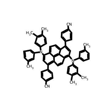 Cc1cccc(N(c2ccc(C)c(C)c2)c2cc(-c3ccc(C#N)cc3)c3ccc4c(N(c5cccc(C)c5)c5ccc(C)c(C)c5)cc(-c5ccc(C#N)cc5)c5ccc2c3c54)c1